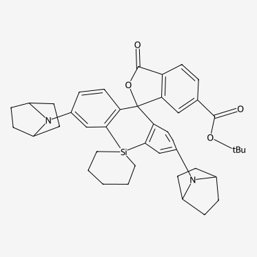 CC(C)(C)OC(=O)c1ccc2c(c1)C1(OC2=O)c2ccc(N3C4CCC3CC4)cc2[Si]2(CCCCC2)c2cc(N3C4CCC3CC4)ccc21